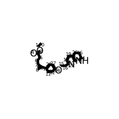 CCOC(=O)CCC1CC1c1ccc(OCCc2ccc3c(n2)NCCC3)cc1